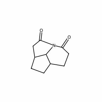 O=C1CCC2CCC3CC(=O)N1C23